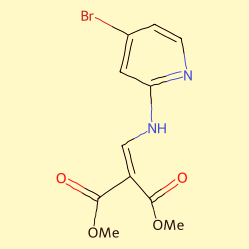 COC(=O)C(=CNc1cc(Br)ccn1)C(=O)OC